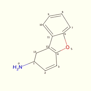 NC1C=Cc2oc3ccccc3c2C1